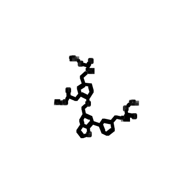 COC(=O)Cc1cc(CNC(=O)OC(C)(C)C)ccc1OCc1cc(-c2cccc(CNC(=O)OC(C)(C)C)c2)c2occc2c1